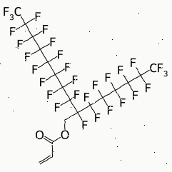 C=CC(=O)OCC(F)(C(F)(F)C(F)(F)C(F)(F)C(F)(F)C(F)(F)C(F)(F)F)C(F)(F)C(F)(F)C(F)(F)C(F)(F)C(F)(F)C(F)(F)C(F)(F)C(F)(F)F